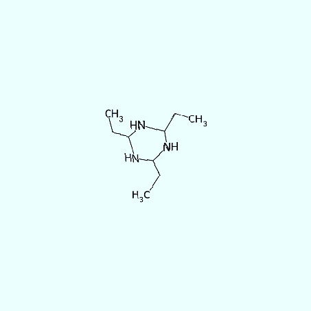 CCC1NC(CC)NC(CC)N1